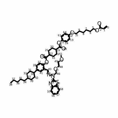 C=CC(=O)OCCCCCCOc1ccc(OC(=O)C2CCC(C(=O)Oc3ccc(C4CCC(CCCCC)CC4)cc3/C=N/N(COCCOC)c3nc4ccccc4s3)CC2)cc1